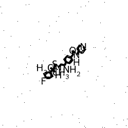 CC(C)(C(=S)NCC(N)c1ccc(C(=O)Nc2ccncc2)cc1)c1ccc(F)cc1